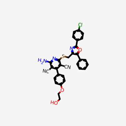 N#Cc1c(N)nc(SCc2nc(-c3ccc(Cl)cc3)oc2-c2ccccc2)c(C#N)c1-c1ccc(OCCO)cc1